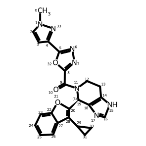 Cn1ccc(-c2nnc(C(=O)N3CCc4[nH]cnc4[C@H]3c3oc4ccccc4c3C3CC3)o2)n1